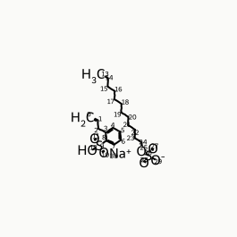 C=CCc1ccccc1S(=O)(=O)O.CCCCCCCCCCCCOS(=O)(=O)[O-].[Na+]